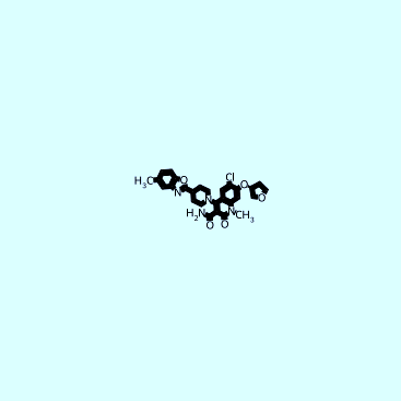 Cc1ccc2oc(C3CCN(c4c(C(N)=O)c(=O)n(C)c5cc(O[C@H]6CCOC6)c(Cl)cc45)CC3)nc2c1